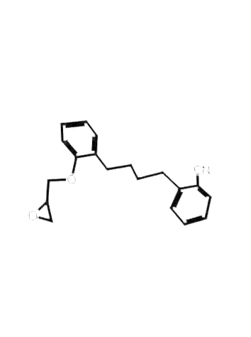 N#Cc1ccccc1CCCCc1ccccc1OCC1CO1